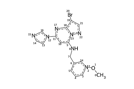 CO[n+]1cccc(CNc2cc(-n3ccnc3)nc3c(Br)cnn23)c1